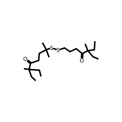 CCC(C)(CC)C(=O)CCCSSC(C)(C)CCC(=O)C(C)(CC)CC